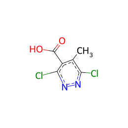 Cc1c(Cl)nnc(Cl)c1C(=O)O